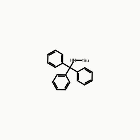 CC(C)(C)NC(c1ccccc1)(c1ccccc1)c1ccccc1